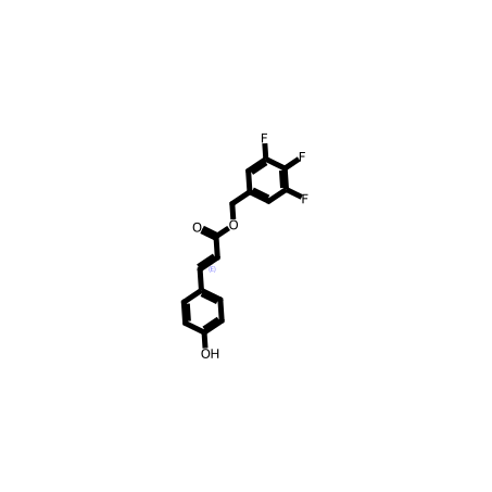 O=C(/C=C/c1ccc(O)cc1)OCc1cc(F)c(F)c(F)c1